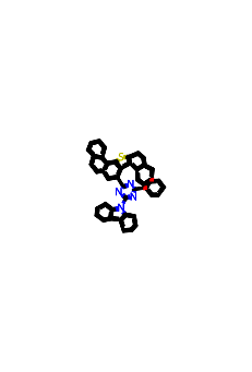 c1ccc(-c2nc(-c3cc4ccc5ccccc5c4c4sc5ccc6ccccc6c5c34)nc(-n3c4ccccc4c4ccccc43)n2)cc1